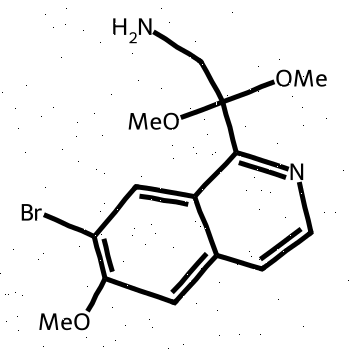 COc1cc2ccnc(C(CN)(OC)OC)c2cc1Br